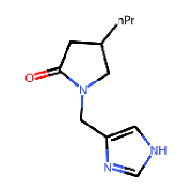 CCCC1CC(=O)N(Cc2c[nH]cn2)C1